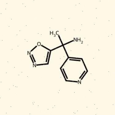 CC(N)(c1ccncc1)c1cnno1